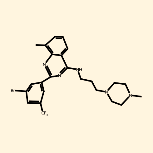 Cc1cccc2c(NCCCN3CCN(C)CC3)nc(-c3cc(Br)cc(C(F)(F)F)c3)nc12